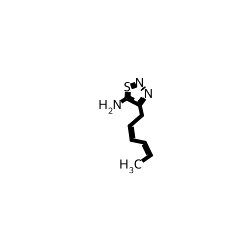 C/C=C\C=C/Cc1nnsc1N